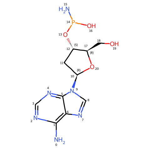 Nc1ncnc2c1ncn2[C@H]1C[C@H](OP(N)O)[C@@H](CO)O1